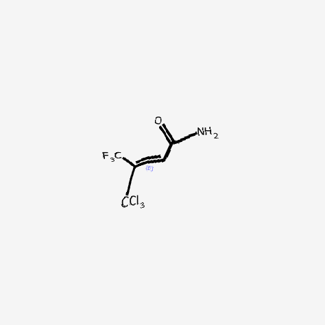 NC(=O)/C=C(\C(F)(F)F)C(Cl)(Cl)Cl